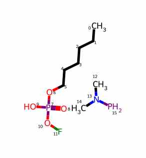 CCCCCCOP(=O)(O)OF.CN(C)P